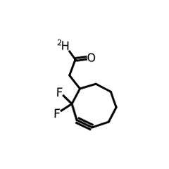 [2H]C(=O)CC1CCCCC#CC1(F)F